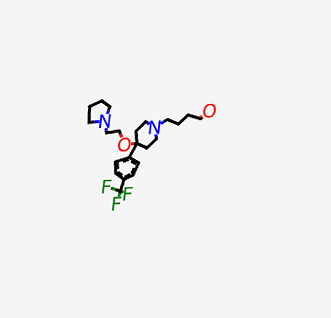 O=CCCCN1CCC(OCCN2CCCC2)(c2ccc(C(F)(F)F)cc2)CC1